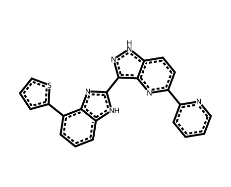 c1ccc(-c2ccc3[nH]nc(-c4nc5c(-c6cccs6)cccc5[nH]4)c3n2)nc1